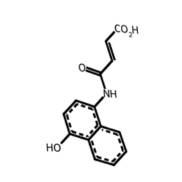 O=C(O)/C=C/C(=O)Nc1ccc(O)c2ccccc12